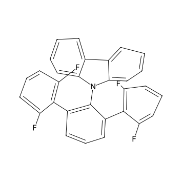 Fc1cccc(F)c1-c1cccc(-c2c(F)cccc2F)c1-n1c2ccccc2c2ccccc21